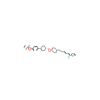 N#CC(F)=CC=CCC[C@H]1CC[C@H](OC[C@H]2CC[C@H](c3ccc(OC(F)(F)F)cc3)CC2)CC1